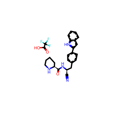 N#C[C@H](Cc1ccc(-c2cc3ccccc3[nH]2)cc1)NC(=O)[C@@H]1CCCCN1.O=C(O)C(F)(F)F